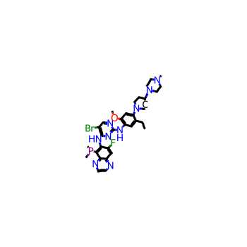 CCc1cc(Nc2ncc(Br)c(Nc3c(F)cc4nccnc4c3P(C)C)n2)c(OC)cc1N1CCC(N2CCN(C)CC2)CC1